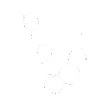 Cl.Fc1cccc(CN2CCC(=C3c4ccccc4C=Cc4ccccc43)CC2)c1